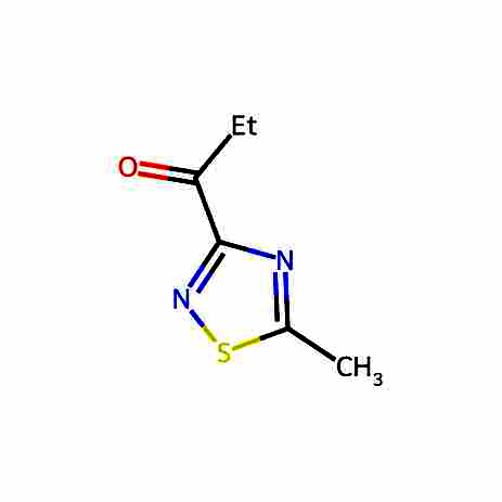 CCC(=O)c1nsc(C)n1